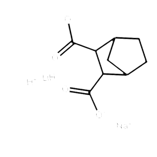 O=C([O-])C1C2CCC(C2)C1C(=O)[O-].[H+].[LiH].[Na+]